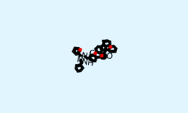 ClC1CCC2=C(C1)C1(c3cc(C4C=CC(C5N=C(c6ccccc6)N=C(C6=CCCCC6)N5)=CC4)ccc3OC3=CCCCC31)C1CCC=CC21